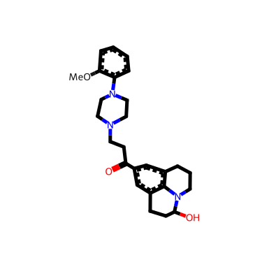 COc1ccccc1N1CCN(CCC(=O)c2cc3c4c(c2)CCC(O)N4CCC3)CC1